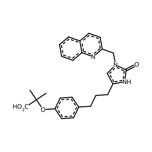 CC(C)(Oc1ccc(CCCc2cn(Cc3ccc4ccccc4n3)c(=O)[nH]2)cc1)C(=O)O